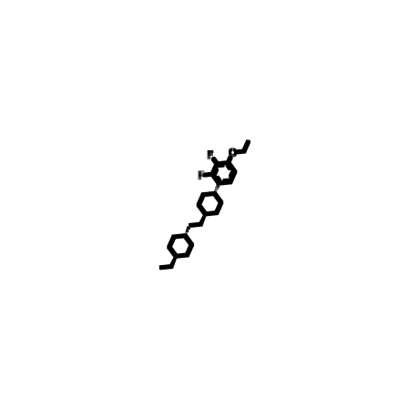 CCOc1ccc([C@H]2CC[C@H](CC[C@H]3CC[C@H](CC)CC3)CC2)c(F)c1F